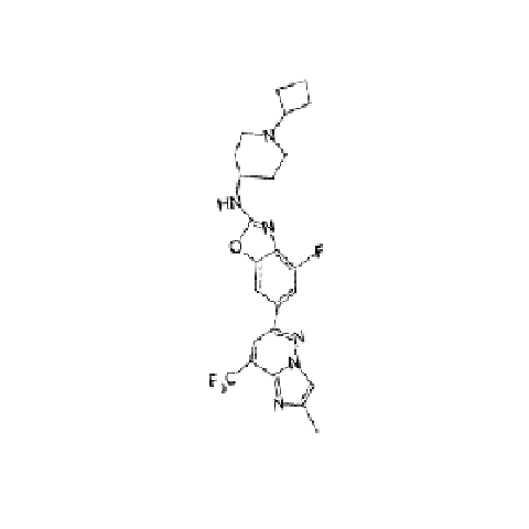 Cc1cn2nc(-c3cc(F)c4nc(NC5CCN(C6CCC6)CC5)oc4c3)cc(C(F)(F)F)c2n1